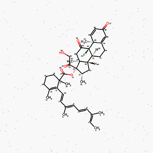 CC=C(C)C=CC=C(C)C=CC1=C(C)CCCC1(C)C(=O)O[C@@]1(C(=O)CO)[C@@H](C)C[C@H]2[C@@H]3CCC4=CC(=O)C=C[C@]4(C)[C@@]3(F)C(=O)C[C@@]21C